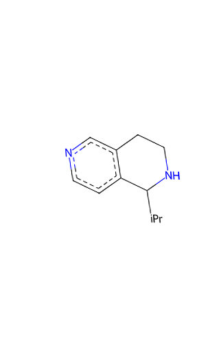 CC(C)C1NCCc2cnccc21